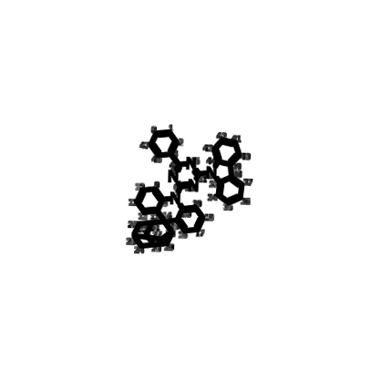 c1ccc(-c2nc(N3c4ccccc4C4(c5ccccc53)C3CC5CC(C3)CC4C5)nc(-n3c4ccccc4c4ccccc43)n2)cc1